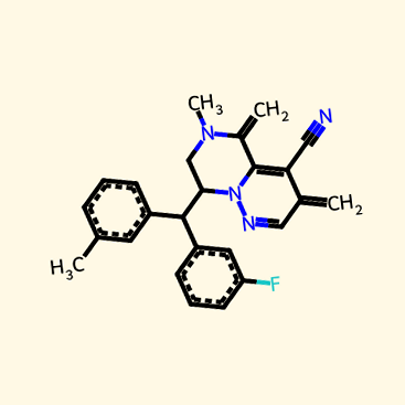 C=C1C=NN2C(=C1C#N)C(=C)N(C)CC2C(c1cccc(C)c1)c1cccc(F)c1